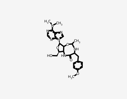 COc1ccc(CC2NC(C)OC3C(NC2=O)[C@@H](CO)O[C@H]3n2cnc3c(N(C)C)ncnc32)cc1